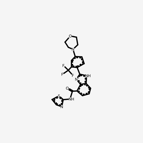 O=C(Nc1nccs1)c1cccc2[nH]c(-c3ccc(N4CCOCC4)cc3C(F)(F)F)nc12